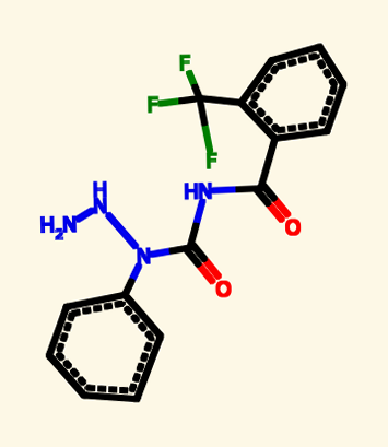 NNN(C(=O)NC(=O)c1ccccc1C(F)(F)F)c1ccccc1